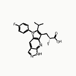 CC(C)c1c(C[C@@H](F)C(=O)O)c2nc3[nH]ncc3cc2n1-c1ccc(F)cc1